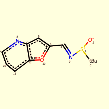 CC(C)(C)[S+]([O-])/N=C/c1cc2ncccc2o1